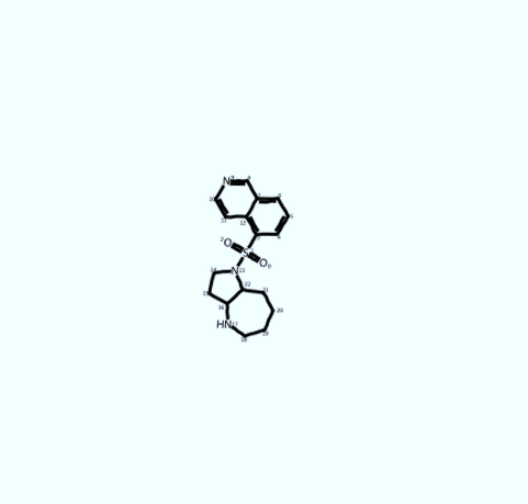 O=S(=O)(c1cccc2cnccc12)N1CCC2NCCCCC21